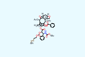 CCCSSCCOC(=O)O[C@@H](C(=O)O[C@H]1C[C@@]2(O)[C@@H](OC(=O)c3ccccc3)[C@@H]3[C@]4(OC(C)=O)CO[C@@H]4C[C@@H]4C[C@@]43C(=O)[C@H](OC(C)=O)C(=C1C)C2(C)C)[C@@H](NC(=O)OC(C)(C)C)c1ccccc1